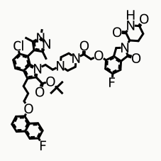 Cc1nn(C)c(C)c1-c1c(Cl)ccc2c(CCCOc3cccc4cc(F)ccc34)c(C(=O)OC(C)(C)C)n(CCN3CCN(C(=O)COc4cc(F)cc5c4CN(C4CCC(=O)NC4=O)C5=O)CC3)c12